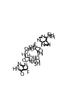 O=c1[nH]cnc2c1c(F)cn2[C@@H]1O[C@@H]2COP(=O)(S)O[C@H]3[C@@H](F)[C@H](n4cnc5c(NS)ncnc54)O[C@@H]3COP(=O)(S)O[C@@H]1[C@@H]2O